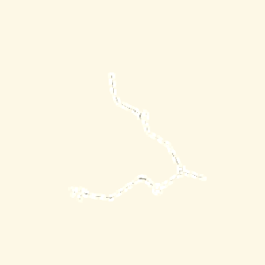 CCOCCB(C)OCCN